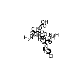 Nc1nc(/C(=N/OCC(=O)O)C(=O)N[C@@H]2C(=O)N3C(C(=O)O)=C(Cn4cc[n+]5cc(Cl)ccc45)CS[C@H]23)c(Cl)s1.[NaH]